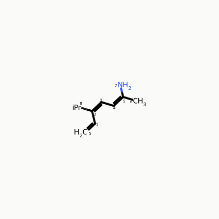 C=C/C(=C\C=C(\C)N)C(C)C